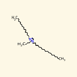 CCCCCCCCCCCCCCCCCCn1cc[n+](CCCCCCCCCCCCCCC)c1CCCC